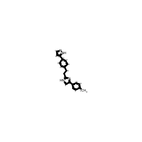 Cc1ccc(-c2c[nH]c(CCc3ccc(-c4ccn[nH]4)cc3)n2)cc1